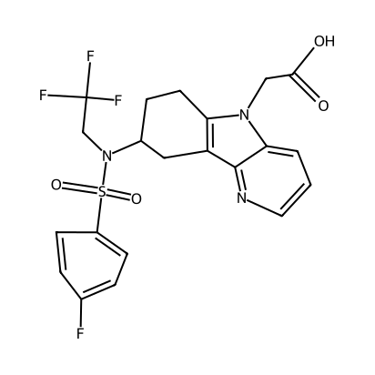 O=C(O)Cn1c2c(c3ncccc31)CC(N(CC(F)(F)F)S(=O)(=O)c1ccc(F)cc1)CC2